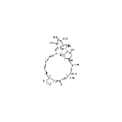 C[C@H]1/C=C/C=C/C=C/C=C/[C@H](O[C@@H]2O[C@H](C)[C@@H](O)[C@H](N)[C@@H]2O)C[C@@H]2O[C@](O)(CC(O)C[C@@H](O)[C@H](O)/C=C/C(=O)O[C@@H]1C)C[C@H](O)[C@H]2C(=O)O